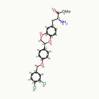 COC(=O)[C@@H](N)Cc1ccc2c(c1)OC[C@H](c1ccc(OCc3ccc(Cl)c(Cl)c3)cc1)O2